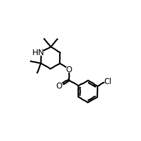 CC1(C)CC(OC(=O)c2cccc(Cl)c2)CC(C)(C)N1